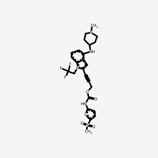 CN1CCC(Nc2cccc3c2cc(C#CCOC(=O)Nc2ccc(S(C)(=O)=O)s2)n3CC(F)(F)F)CC1